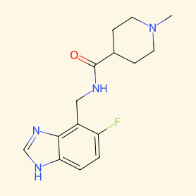 CN1CCC(C(=O)NCc2c(F)ccc3[nH]cnc23)CC1